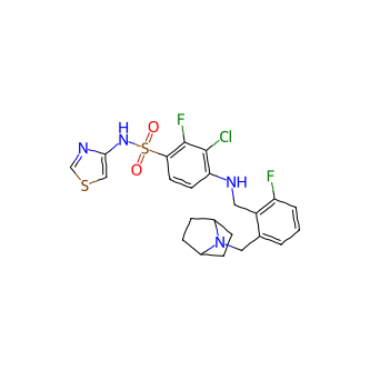 O=S(=O)(Nc1cscn1)c1ccc(NCc2c(F)cccc2CN2C3CCC2CC3)c(Cl)c1F